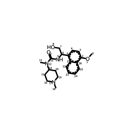 COc1ccc(C(CO)NC(=O)N(C)C2CCN(C)CC2)c2ccccc12